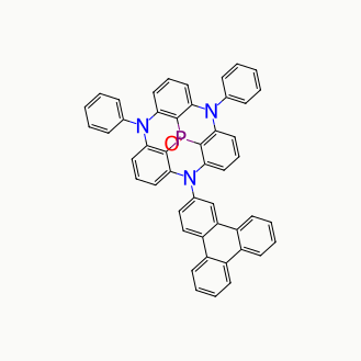 O=P12c3c4cccc3N(c3ccccc3)c3cccc(c31)N(c1ccc3c5ccccc5c5ccccc5c3c1)c1cccc(c12)N4c1ccccc1